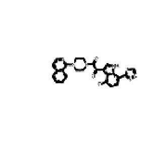 O=C(C(=O)N1CCN(c2nccc3ccccc23)CC1)c1c[nH]c2c(-c3ncon3)ccc(F)c12